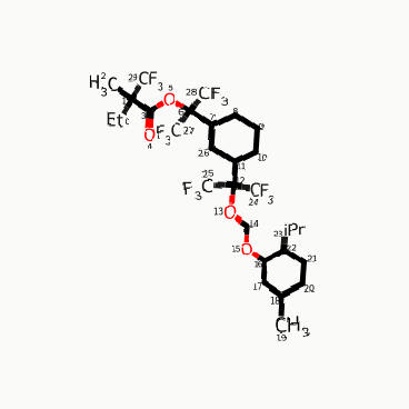 CCC(C)(C(=O)OC(C1CCCC(C(OCOC2CC(C)CCC2C(C)C)(C(F)(F)F)C(F)(F)F)C1)(C(F)(F)F)C(F)(F)F)C(F)(F)F